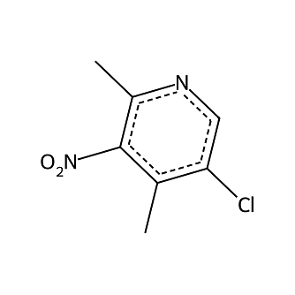 Cc1ncc(Cl)c(C)c1[N+](=O)[O-]